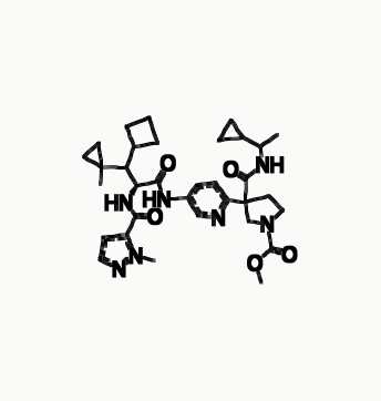 COC(=O)N1CCC(C(=O)NC(C)C2CC2)(c2ccc(NC(=O)[C@@H](NC(=O)c3ccnn3C)C(C3CCC3)C3(C)CC3)cn2)C1